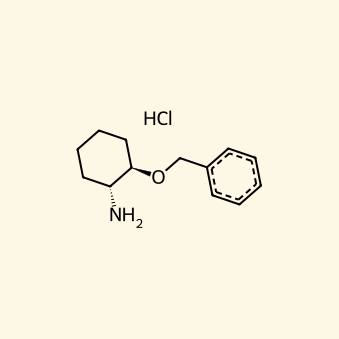 Cl.N[C@@H]1CCCC[C@H]1OCc1ccccc1